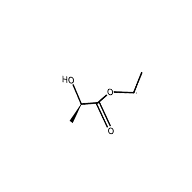 C[CH]OC(=O)[C@@H](C)O